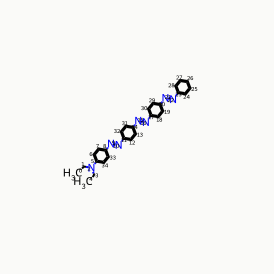 CCN(CC)c1ccc(N=Nc2ccc(N=Nc3ccc(N=Nc4ccccc4)cc3)cc2)cc1